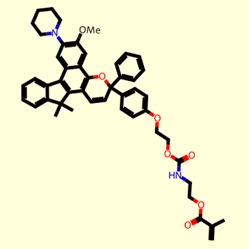 C=C(C)C(=O)OCCNC(=O)OCCOc1ccc(C2(c3ccccc3)C=Cc3c4c(c5cc(N6CCCCC6)c(OC)cc5c3O2)-c2ccccc2C4(C)C)cc1